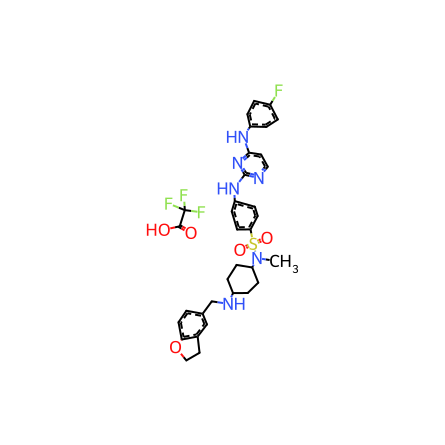 CN(C1CCC(NCc2ccc3c(c2)CCO3)CC1)S(=O)(=O)c1ccc(Nc2nccc(Nc3ccc(F)cc3)n2)cc1.O=C(O)C(F)(F)F